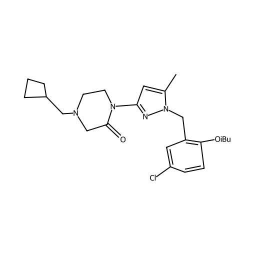 Cc1cc(N2CCN(CC3CCC3)CC2=O)nn1Cc1cc(Cl)ccc1OCC(C)C